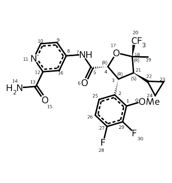 COc1c([C@@H]2[C@H](C(=O)Nc3ccnc(C(N)=O)c3)O[C@@](C)(C(F)(F)F)[C@H]2C2CC2)ccc(F)c1F